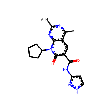 CNc1nc(C)c2cc(C(=O)Nc3cc[nH]n3)c(=O)n(C3CCCC3)c2n1